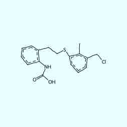 Cc1c(CCl)cccc1SCCc1ccccc1NC(=O)O